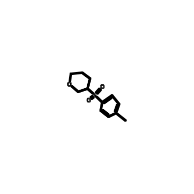 Cc1ccc(S(=O)(=O)C2CCCOC2)cc1